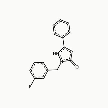 O=c1cc(-c2ccccc2)[nH]n1Cc1cccc(F)c1